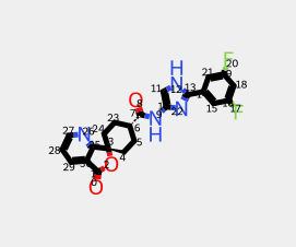 O=C1O[C@]2(CC[C@@H](C(=O)Nc3c[nH]c(-c4cc(F)cc(F)c4)n3)CC2)c2ncccc21